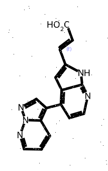 O=C(O)/C=C/c1cc2c(-c3cnn4ncccc34)ccnc2[nH]1